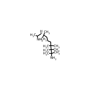 CC(N)PC(C)(C)CCCC(C)(C)C(C)(C)C(C)(C)N